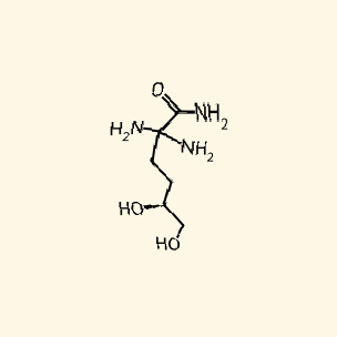 NC(=O)C(N)(N)CC[C@H](O)CO